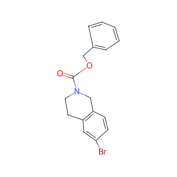 O=C(OCc1ccccc1)N1CCc2cc(Br)ccc2C1